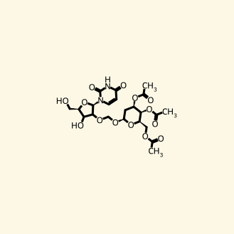 CC(=O)OC[C@H]1O[C@@H](OCOC2C(O)[C@@H](CO)O[C@H]2n2ccc(=O)[nH]c2=O)C[C@@H](OC(C)=O)[C@H]1OC(C)=O